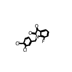 O=C1C(=O)N(Cc2ccc(Cl)c(Cl)c2)c2c(F)cccc21